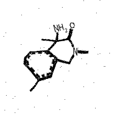 Cc1ccc2c(c1)CN(C)C(=O)C2(C)N